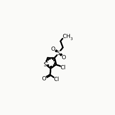 CCCS(=O)(=O)c1csc(C(=O)Cl)c1Cl